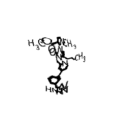 CCCCc1cn(-c2c(C(=O)OC)ccn2C)c(=O)n1Cc1cc(-c2cccc(-c3nnn[nH]3)c2)ccn1